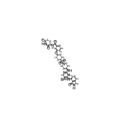 O=C1CCC(N2Cc3c(OC4CCC(S(=O)(=O)N5CCC(Nc6ncc(Br)c(Nc7cccc8c7C(=O)NC8)n6)CC5)CC4)cccc3C2=O)C(=O)N1